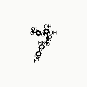 O=C(NC1CCN([C@H]2CC[C@H](C(F)(F)F)CC2)CC1)c1cc(-c2c(O)cc(O)cc2Oc2ccc([N+](=O)[O-])cc2)on1